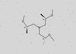 CO[C@H](C)CN(C[C@@H](C)OC)C[C@@H](C)OC